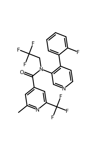 Cc1cc(C(=O)N(CC(F)(F)F)c2cnccc2-c2ccccc2F)cc(C(F)(F)F)n1